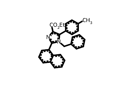 CCOC(=O)c1nc(-c2cccc3ccccc23)n(Cc2ccccc2)c1-c1ccc(C)cc1